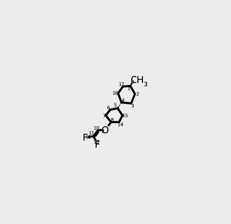 C[C@H]1CC[C@H](C2CCC(OC=C(F)F)CC2)CC1